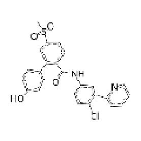 CS(=O)(=O)c1ccc(C(=O)Nc2ccc(Cl)c(-c3ccccn3)c2)c(-c2ccc(O)cc2)c1